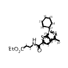 CCOC(=O)CCNC(=O)c1cc2c(C)nn(C3CCCCC3)c2s1